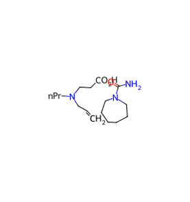 C=CCN(CCC)CCC(=O)O.NC(=O)N1CCCCCC1